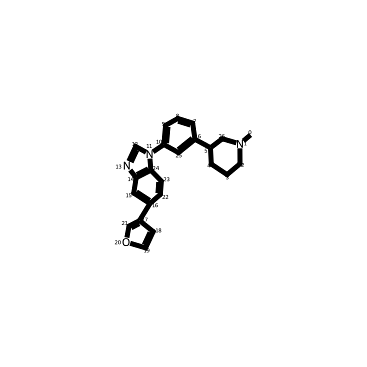 CN1CCCC(c2cccc(-n3cnc4cc(-c5ccoc5)ccc43)c2)C1